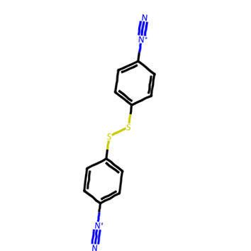 N#[N+]c1ccc(SSc2ccc([N+]#N)cc2)cc1